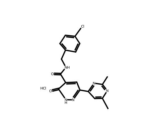 Cc1cc(-c2cc(C(=O)NCc3ccc(Cl)cc3)c(=O)[nH]n2)nc(C)n1.Cl